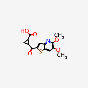 COc1cc2sc(C(=O)C3CC3C(=O)O)cc2nc1OC